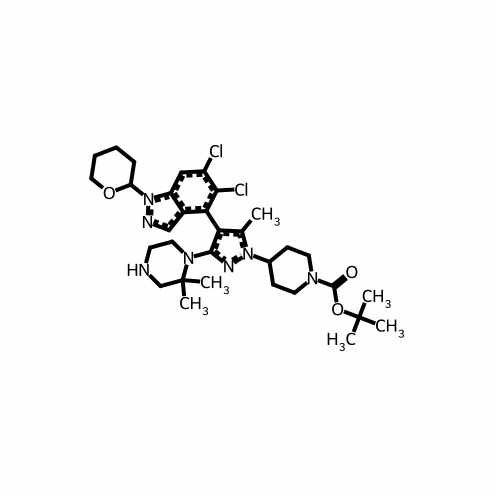 Cc1c(-c2c(Cl)c(Cl)cc3c2cnn3C2CCCCO2)c(N2CCNCC2(C)C)nn1C1CCN(C(=O)OC(C)(C)C)CC1